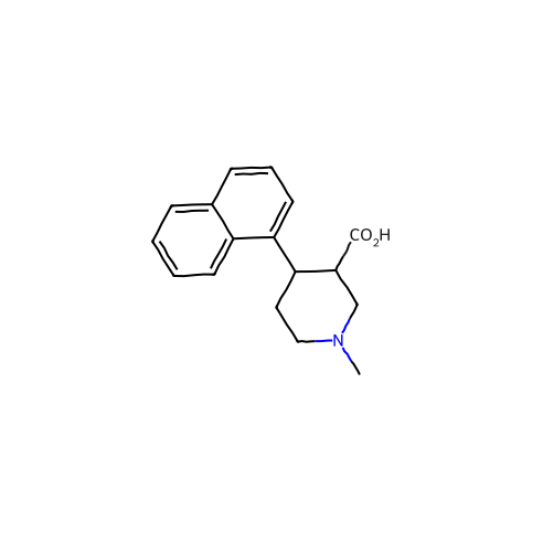 CN1CCC(c2cccc3ccccc23)C(C(=O)O)C1